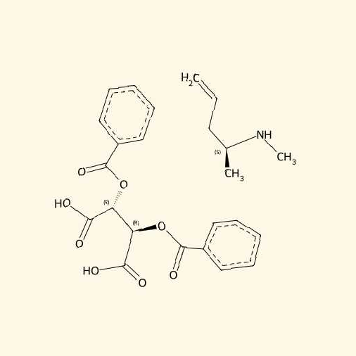 C=CC[C@H](C)NC.O=C(O[C@@H](C(=O)O)[C@@H](OC(=O)c1ccccc1)C(=O)O)c1ccccc1